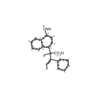 C/C=C(\c1ccccc1)C(C)(C(=O)OCC)c1ccc(OC)c2ccccc12